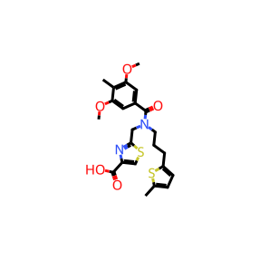 COc1cc(C(=O)N(CCCc2ccc(C)s2)Cc2nc(C(=O)O)cs2)cc(OC)c1C